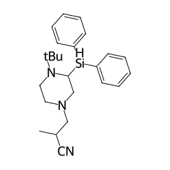 CC(C#N)CN1CCN(C(C)(C)C)C([SiH](c2ccccc2)c2ccccc2)C1